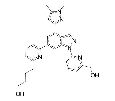 Cc1cc(-c2cc(-c3cccc(CCCCO)n3)cc3c2cnn3-c2cccc(CO)n2)nn1C